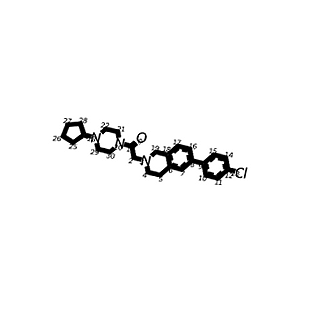 O=C(CN1CCc2cc(-c3ccc(Cl)cc3)ccc2C1)N1CCN(C2CCCC2)CC1